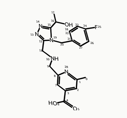 Cc1cc(C(=O)O)cc(CNCc2nnc(C(C)O)n2Cc2ccc(F)cc2)n1